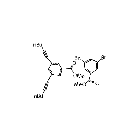 CCCCC#Cc1cc(C#CCCCC)cc(C(=O)OC)c1.COC(=O)c1cc(Br)cc(Br)c1